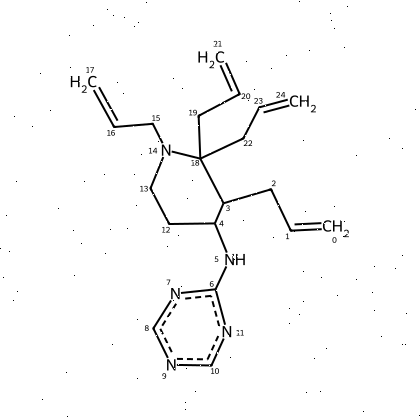 C=CCC1C(Nc2ncncn2)CCN(CC=C)C1(CC=C)CC=C